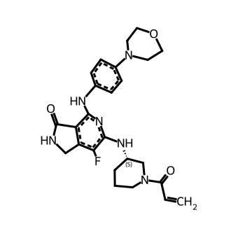 C=CC(=O)N1CCC[C@H](Nc2nc(Nc3ccc(N4CCOCC4)cc3)c3c(c2F)CNC3=O)C1